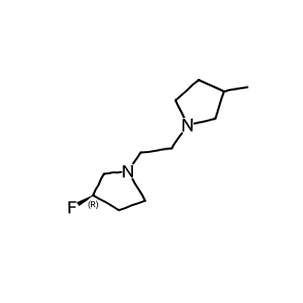 CC1CCN(CCN2CC[C@@H](F)C2)C1